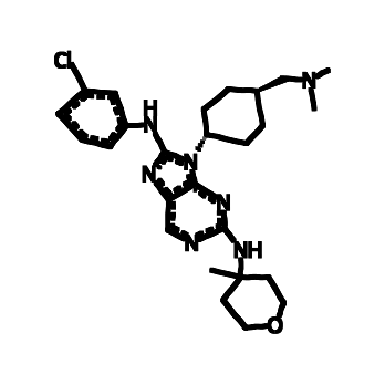 CN(C)C[C@H]1CC[C@H](n2c(Nc3cccc(Cl)c3)nc3cnc(NC4(C)CCOCC4)nc32)CC1